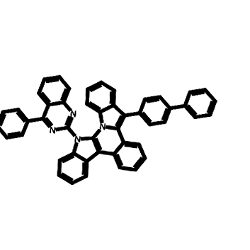 c1ccc(-c2ccc(-c3c4ccccc4n4c3c3ccccc3c3c5ccccc5n(-c5nc(-c6ccccc6)c6ccccc6n5)c34)cc2)cc1